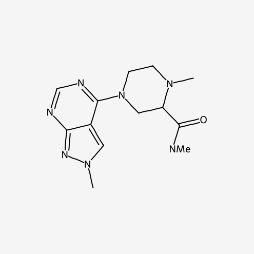 CNC(=O)C1CN(c2ncnc3nn(C)cc23)CCN1C